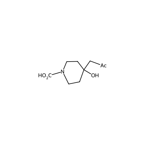 CC(=O)CC1(O)CCN(C(=O)O)CC1